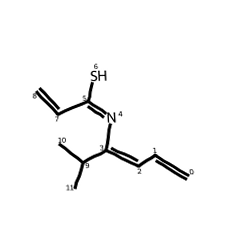 C=C/C=C(\N=C(\S)C=C)C(C)C